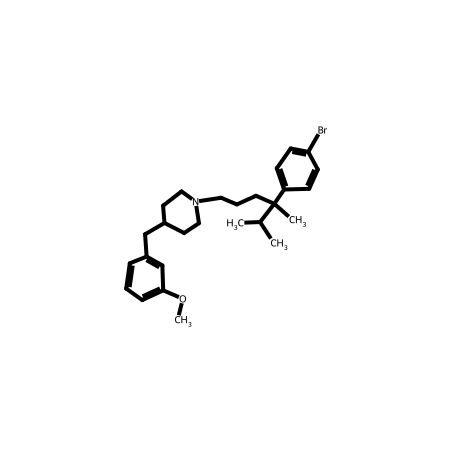 COc1cccc(CC2CCN(CCCC(C)(c3ccc(Br)cc3)C(C)C)CC2)c1